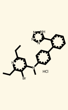 CCc1cc(N(C)c2ccc(-c3ccccc3-c3nnn[nH]3)cc2)c(Br)c(CC)n1.Cl